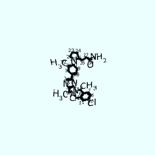 Cc1nn(C(C)c2ccc(Cl)cc2Cl)c2nc(C3=CCC(N4CCCC4CCC(N)=O)C(C)C3)cnc12